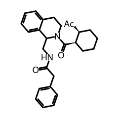 CC(=O)[C@H]1CCCC[C@H]1C(=O)N1CCc2ccccc2C1CNC(=O)Cc1ccccc1